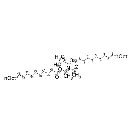 CCCCCCCCC=CCCCCCCCC(=O)OC(C)N(CC(C)O)C(C)OC(=O)CCCCCCCC=CCCCCCCCC